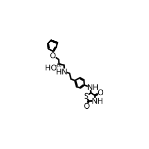 O=C1NC(=O)C(Nc2ccc(CCNC[C@H](O)COc3ccccc3)cc2)S1